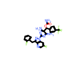 NC(=O)OC(c1ccc(C(F)(F)F)cc1)c1c(N)nc(-n2nc(Cc3ccccc3F)c3ncc(F)cc32)nc1N